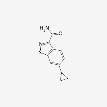 NC(=O)c1nsc2cc(C3CC3)ccc12